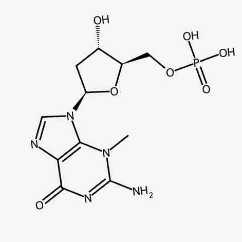 Cn1c(N)nc(=O)c2ncn([C@H]3C[C@H](O)[C@@H](COP(=O)(O)O)O3)c21